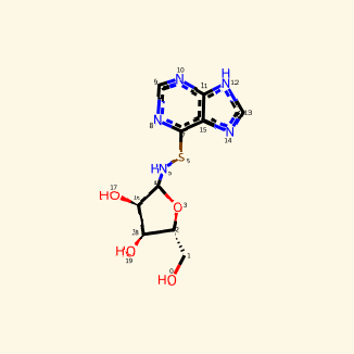 OC[C@H]1OC(NSc2ncnc3[nH]cnc23)[C@H](O)[C@@H]1O